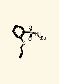 C=CCSc1ccccc1S(=O)(=O)NC(C)(C)C